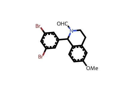 COc1ccc2c(c1)CCN(C=O)C2c1cc(Br)cc(Br)c1